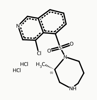 C[C@H]1CNCCCN1S(=O)(=O)c1cccc2cncc(Cl)c12.Cl.Cl